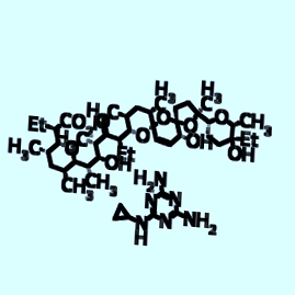 CC[C@@H](C(=O)O)[C@@H]1O[C@@H]([C@@H](C)[C@H](O)[C@H](C)C(=O)[C@H](CC)[C@H]2O[C@]3(C=C[C@@H](O)[C@]4(CC[C@@](C)([C@H]5CC[C@](O)(CC)[C@H](C)O5)O4)O3)[C@H](C)C[C@@H]2C)[C@@H](C)C[C@@H]1C.Nc1nc(N)nc(NC2CC2)n1